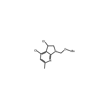 CCCCOCN1CC(CC)c2c(Cl)cc(C)nc21